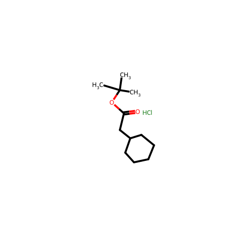 CC(C)(C)OC(=O)CC1CCCCC1.Cl